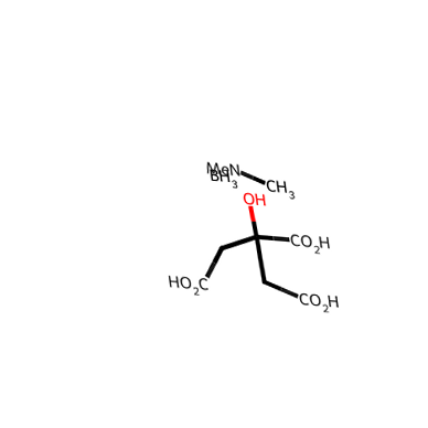 B.CNC.O=C(O)CC(O)(CC(=O)O)C(=O)O